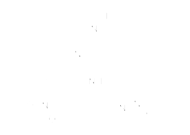 CN1CCN(c2ccc([N+](=O)[O-])cc2NCc2ccn(C)n2)CC1